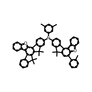 Cc1cc(C)cc(N(c2ccc3c(c2)C(C)(C)c2cc(-c4ccccc4C)c4oc5ccccc5c4c2-3)c2ccc3c(c2)C(C)(C)c2c4c(c5c(oc6ccccc65)c2-3)-c2ccccc2C4(C)C)c1